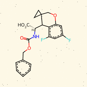 O=C(N[C@H](C(=O)O)C1c2c(F)cc(F)cc2OCC12CC2)OCc1ccccc1